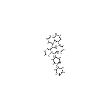 c1ccc2c(-c3c4ccccc4c(-c4ccc(-c5ccncc5)nc4)c4ccccc34)cccc2c1